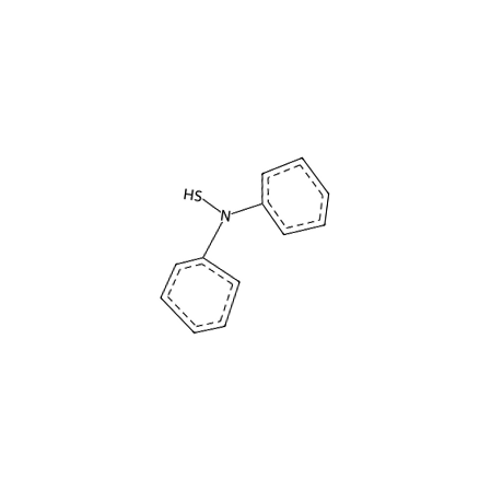 SN(c1ccccc1)c1ccccc1